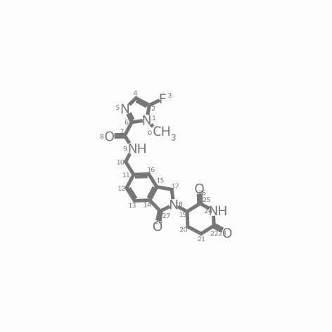 Cn1c(F)cnc1C(=O)NCc1ccc2c(c1)CN(C1CCC(=O)NC1=O)C2=O